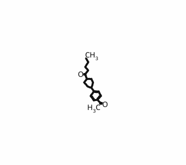 CCCCCC(=O)C1CCC(c2ccc(C(C)=O)cc2)CC1